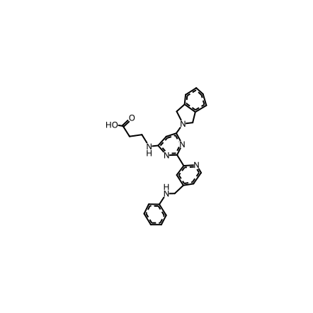 O=C(O)CCNc1cc(N2Cc3ccccc3C2)nc(-c2cc(CNc3ccccc3)ccn2)n1